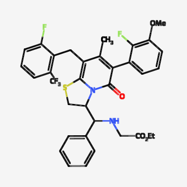 CCOC(=O)CNC(c1ccccc1)C1CSc2c(Cc3c(F)cccc3C(F)(F)F)c(C)c(-c3cccc(OC)c3F)c(=O)n21